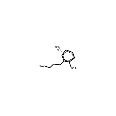 CCCCCCCCCCCCc1ccccc1S(=O)(=O)O.N.N